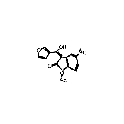 CC(=O)c1ccc2c(c1)C(=C(O)c1ccoc1)C(=O)N2C(C)=O